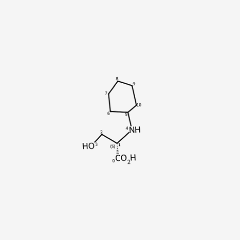 O=C(O)[C@H](CO)NC1CCCCC1